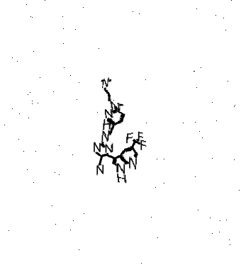 CN(C)CCCN(C)c1ccc(CNc2ncc(C#N)c(-c3c[nH]c4ncc(C(F)(F)F)cc34)n2)cn1